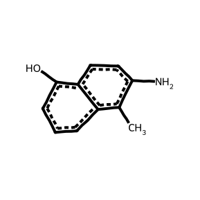 Cc1c(N)ccc2c(O)cccc12